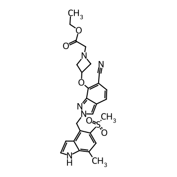 CCOC(=O)CN1CC(Oc2c(C#N)ccc3cn(Cc4c(S(C)(=O)=O)cc(C)c5[nH]ccc45)nc23)C1